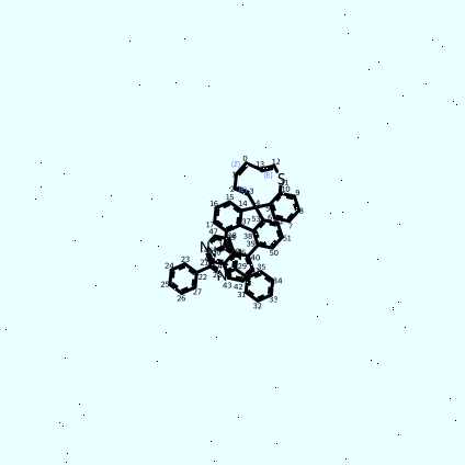 C1=C\C=C\C2(c3ccccc3S/C=C/1)c1cccc(-c3nc(-c4ccccc4)nc(-c4ccccc4)n3)c1-c1c(-c3cccc4cnccc34)cccc12